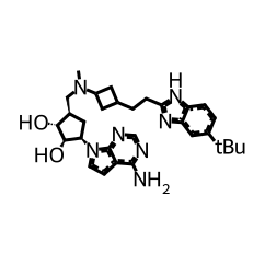 CN(C[C@H]1C[C@@H](n2ccc3c(N)ncnc32)[C@@H](O)[C@@H]1O)C1CC(CCc2nc3cc(C(C)(C)C)ccc3[nH]2)C1